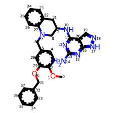 COc1ccc(CN2CC(Nc3nc(N)nc4[nH]ncc34)Cc3ccccc32)cc1OCc1ccccc1